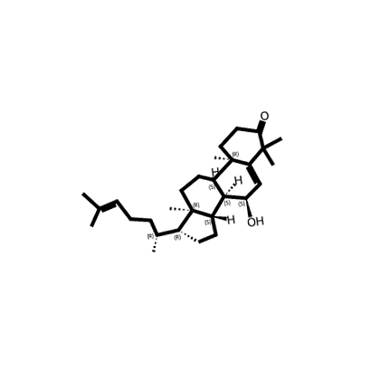 CC(C)=CCC[C@@H](C)[C@H]1CC[C@H]2[C@@H]3[C@H](O)C=C4C(C)(C)C(=O)CC[C@]4(C)[C@H]3CC[C@]12C